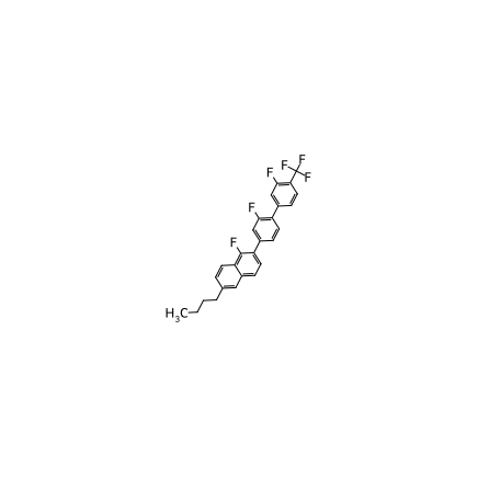 CCCCc1ccc2c(F)c(-c3ccc(-c4ccc(C(F)(F)F)c(F)c4)c(F)c3)ccc2c1